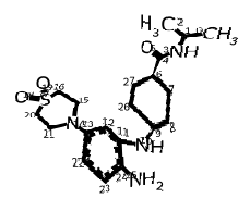 CC(C)NC(=O)[C@H]1CC[C@@H](Nc2cc(N3CCS(=O)(=O)CC3)ccc2N)CC1